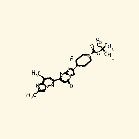 Cc1cn2nc(-c3cc(=O)n4cc([C@@H]5CCN(C(=O)OC(C)(C)C)C[C@H]5F)sc4n3)cc(C)c2n1